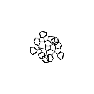 c1ccc(-c2c3c(n(-c4ccccc4)c2[Si](c2ccccc2)(c2ccccc2)c2ccccc2)C(c2ccccc2)(c2ccccc2)c2ccccc2[Si]3(c2ccccc2)c2ccccc2)cc1